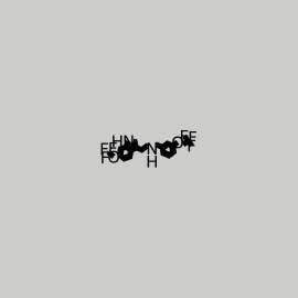 FC(F)(F)COc1cccc(CNCCc2c[nH]c3cc(OC(F)(F)F)ccc23)c1